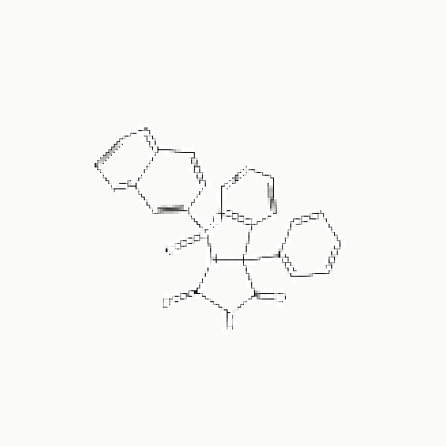 O=C1NC(=O)C(c2ccccc2)(c2ccccc2)N1S(=O)(=O)c1ccc2ccccc2c1